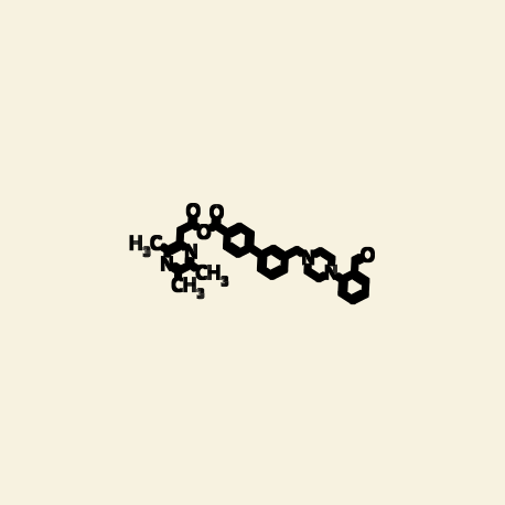 Cc1nc(C)c(CC(=O)OC(=O)c2ccc(-c3cccc(CN4CCN(c5ccccc5C=O)CC4)c3)cc2)nc1C